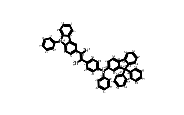 [2H]/C(=C(/[2H])c1ccc2c(c1)c1ccccc1n2-c1ccccc1)c1ccc(N(c2ccccc2)c2ccc3c(c2)C(c2ccccc2)(c2ccccc2)c2ccccc2-3)cc1